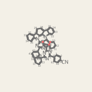 N#Cc1ccc(-c2nc(-c3ccccc3)nc(-c3ccc(-n4c5ccccc5c5ccc6c7ccccc7n(-c7nc(-c8ccccc8)nc(-c8ccccc8)n7)c6c54)cc3)n2)cc1